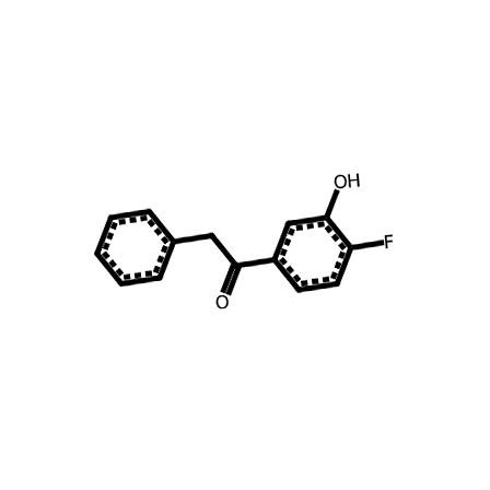 O=C(Cc1ccccc1)c1ccc(F)c(O)c1